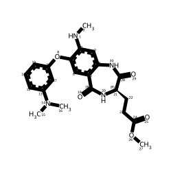 CNc1cc2c(cc1Oc1cccc(N(C)C)c1)C(=O)N[C@H](CCC(=O)OC)C(=O)N2